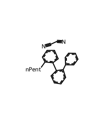 CCCCCc1ccccc1-c1ccccc1-c1ccccc1.N#CC#N